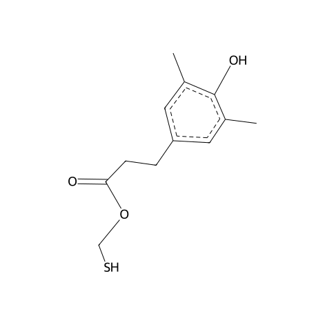 Cc1cc(CCC(=O)OCS)cc(C)c1O